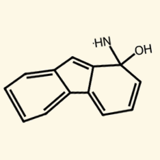 [NH]C1(O)C=CC=C2C1=Cc1ccccc12